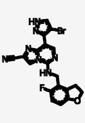 N#Cc1cn2c(NCc3c(F)ccc4c3CCO4)ncc(-c3n[nH]cc3Br)c2n1